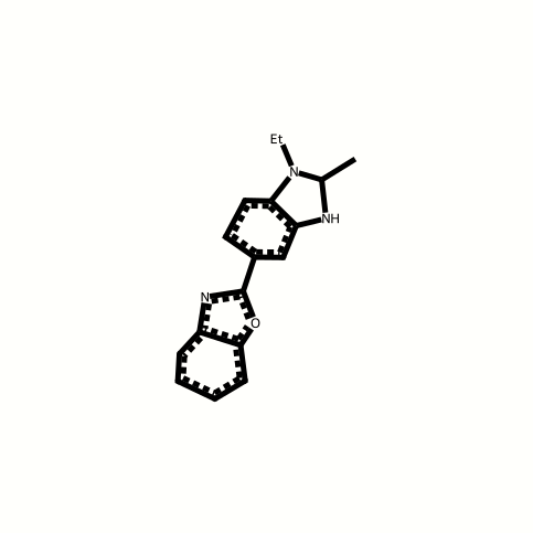 CCN1c2ccc(-c3nc4ccccc4o3)cc2NC1C